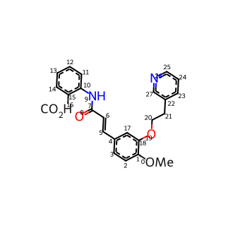 COc1ccc(C=CC(=O)Nc2ccccc2C(=O)O)cc1OCCc1cccnc1